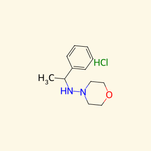 CC(NN1CCOCC1)c1ccccc1.Cl